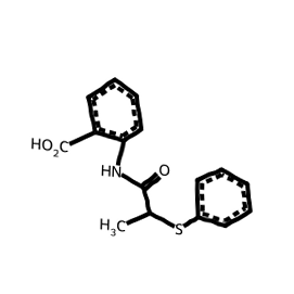 CC(Sc1ccccc1)C(=O)Nc1ccccc1C(=O)O